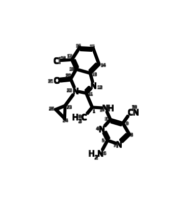 CC(Nc1nc(N)ncc1C#N)c1nc2cccc(Cl)c2c(=O)n1C1CC1